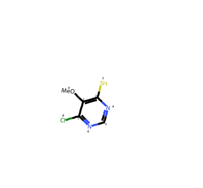 COc1c(S)ncnc1Cl